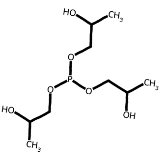 CC(O)COP(OCC(C)O)OCC(C)O